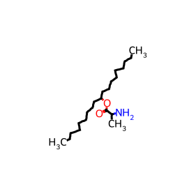 CCCCCCCCCC(CCCCCCCCC)OC(=O)C(C)N